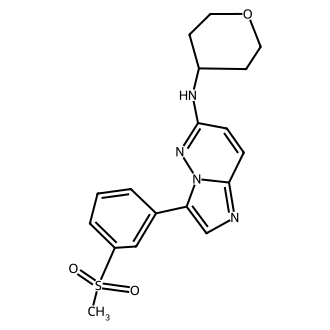 CS(=O)(=O)c1cccc(-c2cnc3ccc(NC4CCOCC4)nn23)c1